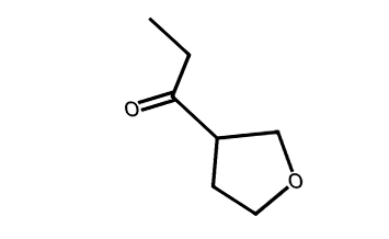 CCC(=O)C1CCOC1